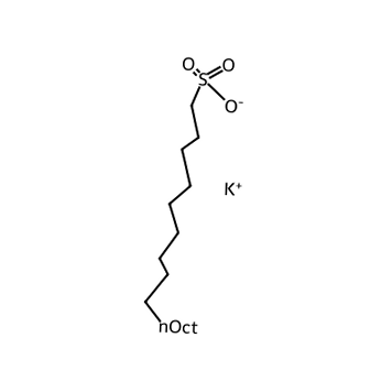 CCCCCCCCCCCCCCCCCS(=O)(=O)[O-].[K+]